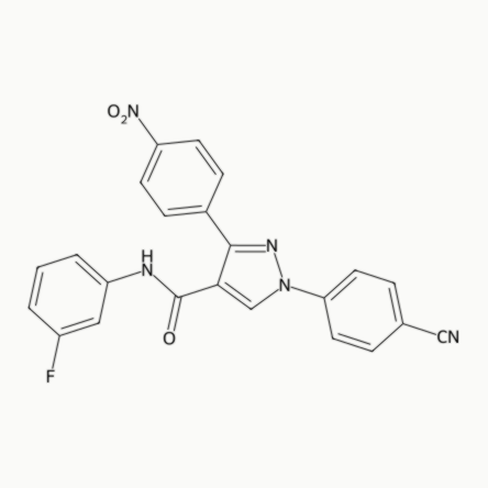 N#Cc1ccc(-n2cc(C(=O)Nc3cccc(F)c3)c(-c3ccc([N+](=O)[O-])cc3)n2)cc1